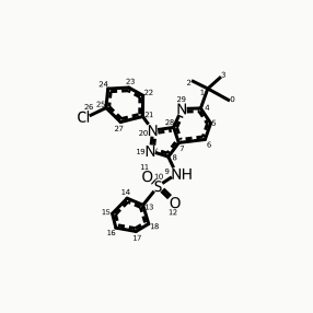 CC(C)(C)c1ccc2c(NS(=O)(=O)c3ccccc3)nn(-c3cccc(Cl)c3)c2n1